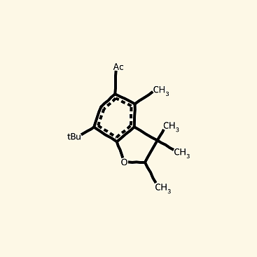 CC(=O)c1cc(C(C)(C)C)c2c(c1C)C(C)(C)C(C)O2